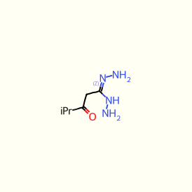 CC(C)C(=O)C/C(=N/N)NN